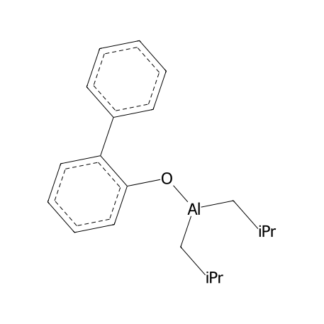 CC(C)[CH2][Al]([CH2]C(C)C)[O]c1ccccc1-c1ccccc1